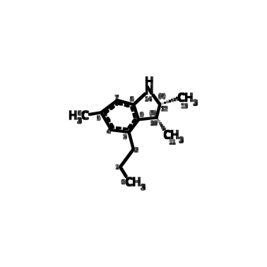 CCCc1cc(C)cc2c1[C@@H](C)[C@@H](C)N2